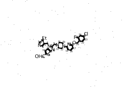 CCn1cncc1Cn1c(CN2CCN(c3cccc(OCc4ccc(Cl)cc4F)n3)CC2)nc2sc(C=O)cc21